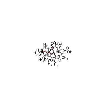 CC(C)C[C@@H](NC(=O)[C@H](CC(N)=O)NC(=O)[C@@H](NC(=O)[C@@H](N)CCC(=O)O)C(C)C)[C@H](O)C[C@@H](C)C(=O)N[C@@H](C)C(=O)NC(CCC(=O)O)C(=O)N[C@@H](Cc1ccccc1)C(=O)O